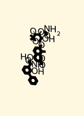 CO[C@@H]1[C@@H](OC(N)=O)[C@@H](O)[C@H](Oc2ccc3c(O)c(NC(=O)c4cccc(-c5ccccc5)c4O)c(=O)oc3c2C)OC1(C)C